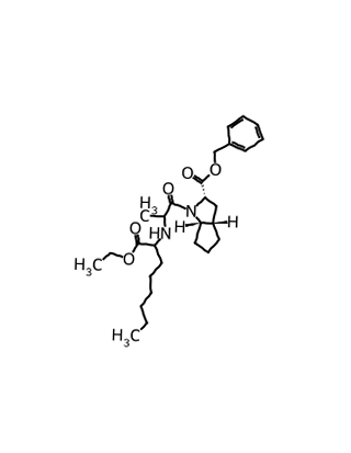 CCCCCCC(NC(C)C(=O)N1[C@H](C(=O)OCc2ccccc2)C[C@@H]2CCC[C@@H]21)C(=O)OCC